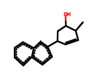 CC1C=CC(c2[c]c3ccccc3cc2)CC1O